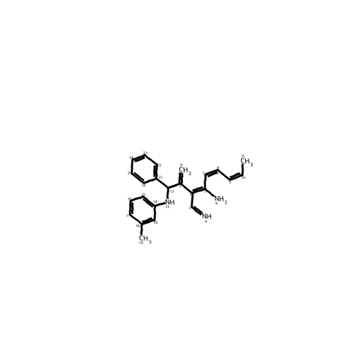 C=C(\C(C=N)=C(N)/C=C\C=C/C)C(Nc1cccc(C)c1)c1ccccc1